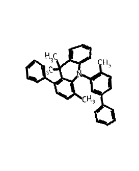 Cc1ccc(-c2ccccc2)cc1N1c2ccccc2C(C)(C)c2c(-c3ccccc3)ccc(C)c21